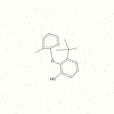 Cc1ccccc1Oc1c(O)cccc1C(C)(C)C